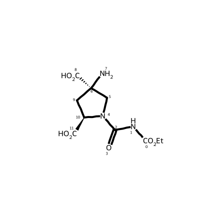 CCOC(=O)NC(=O)N1C[C@@](N)(C(=O)O)C[C@@H]1C(=O)O